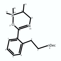 CCCCCCCCCCCCc1ccccc1C1=NCC(C)[Si](C)(C)O1